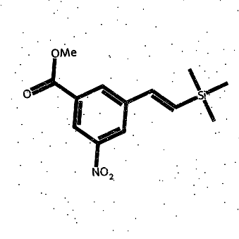 COC(=O)c1cc(C=C[Si](C)(C)C)cc([N+](=O)[O-])c1